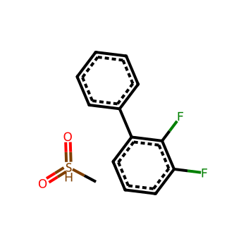 C[SH](=O)=O.Fc1cccc(-c2ccccc2)c1F